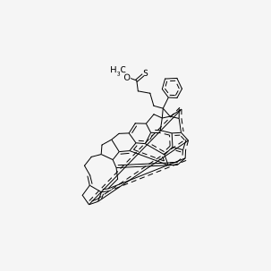 COC(=S)CCCC1(c2ccccc2)C23CC4C=C5CC6CC7CC/C=C8\Cc9c%10c(c%11c%12c2c4c2c5c4c5c%13c%14c(c8c9c%11c%14c%12c25)CC=%13C7C=46)C%1013